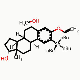 C=COc1cc2c(c[c]1[Sn]([CH2]CCC)([CH2]CCC)[CH2]CCC)[C@H]1CC[C@]3(C)[C@H](O)CC[C@H]3[C@@H]1CC2.CO